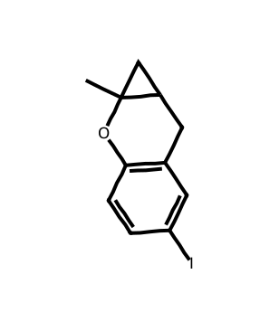 CC12CC1Cc1cc(I)ccc1O2